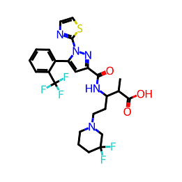 CC(C(=O)O)C(CCN1CCCC(F)(F)C1)NC(=O)c1cc(-c2ccccc2C(F)(F)F)n(-c2nccs2)n1